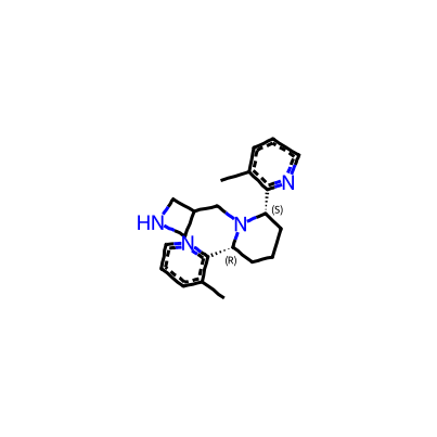 Cc1cccnc1[C@H]1CCC[C@@H](c2ncccc2C)N1CC1CNC1